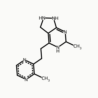 Cc1nccnc1CCC1=C2CNNC2=NC(C)N1